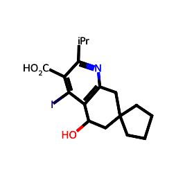 CC(C)c1nc2c(c(I)c1C(=O)O)C(O)CC1(CCCC1)C2